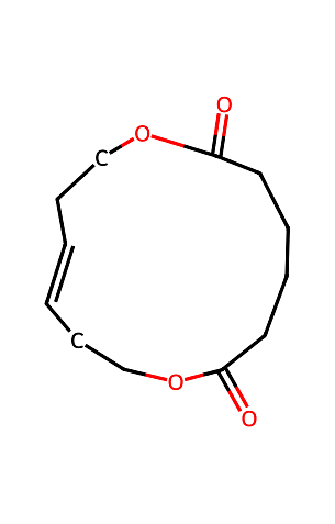 O=C1CCCCC(=O)OCC/C=C/CCO1